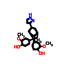 COc1cc(C2(c3ccc(O)c(OC)c3)Cc3cc(-c4cc[nH]n4)cc2c3C)ccc1O